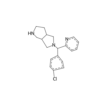 Clc1ccc(C(c2ccccn2)N2CC3CCNCC3C2)cc1